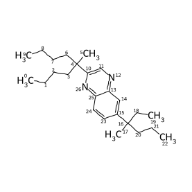 CCCCC(C)(CCCC)c1cnc2cc(C(C)(CC)CCC)ccc2n1